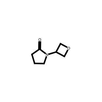 O=C1CCCN1C1COC1